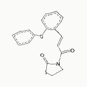 O=C(/C=C/c1ccccc1Oc1ccccc1)N1CCSC1=O